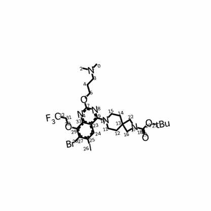 CN(C)CCCOc1nc(N2CCC3(CC2)CN(C(=O)OC(C)(C)C)C3)c2cc(I)c(Br)c(OCC(F)(F)F)c2n1